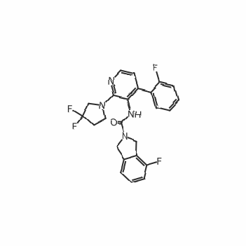 O=C(Nc1c(-c2ccccc2F)ccnc1N1CCC(F)(F)C1)N1Cc2cccc(F)c2C1